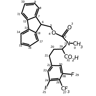 CN(C(=O)OCC1c2ccccc2-c2ccccc21)C(CCc1cc(F)c(C(F)(F)F)c(F)c1)C(=O)O